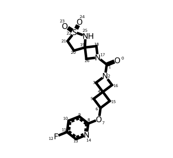 O=C(N1CC2(CC(Oc3ccc(F)cn3)C2)C1)N1CC2(CCS(=O)(=O)N2)C1